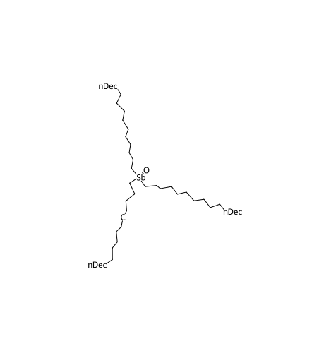 CCCCCCCCCCCCCCCCCCC[CH2][Sb](=[O])([CH2]CCCCCCCCCCCCCCCCCCC)[CH2]CCCCCCCCCCCCCCCCCCC